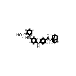 O=C(NC12CC3CC(CC(C3)C1)C2)c1ccc(Nc2ccc(Nc3ccccc3C(=O)O)cc2)cc1